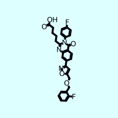 O=C(O)CCCCc1nc2cc(-c3cc(COCc4ccccc4F)on3)ccc2c(=O)n1-c1ccc(F)cc1